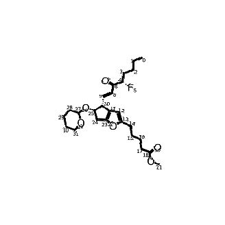 CCCC[C@H](F)C(=O)C=C[C@@H]1c2cc(CCCCC(=O)OC)oc2C[C@H]1OC1CCCCO1